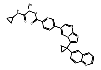 CC(C)(C)[C@@H](NC(=O)c1ccc(-c2cnc3ncc(C4(c5ccc6ncccc6c5)CC4)n3c2)cn1)C(=O)NC1CC1